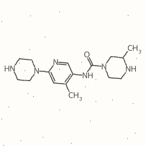 Cc1cc(N2CCNCC2)ncc1NC(=O)N1CCNC(C)C1